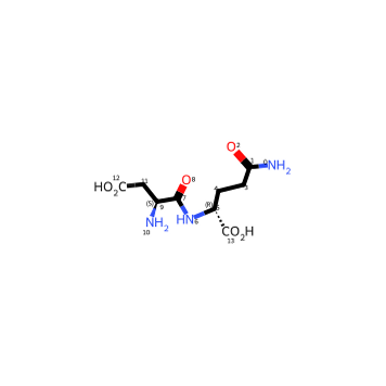 NC(=O)CC[C@@H](NC(=O)[C@@H](N)CC(=O)O)C(=O)O